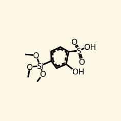 CO[Si](OC)(OC)c1ccc(S(=O)(=O)O)c(O)c1